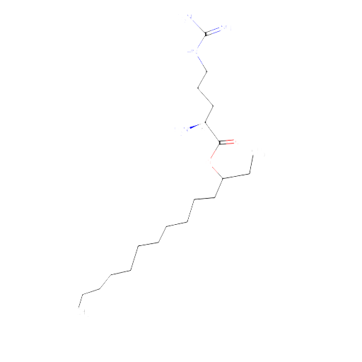 CCCCCCCCCCCC(CC)OC(=O)[C@@H](N)CCCNC(=N)N